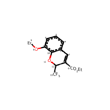 CCOC(=O)C1=Cc2cccc(OCC)c2OC1C(F)(F)F